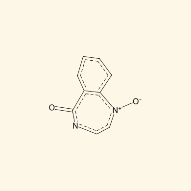 O=c1ncc[n+]([O-])c2ccccc12